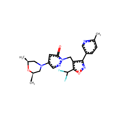 Cc1ccc(-c2noc(C(F)F)c2Cn2ncc(N3C[C@@H](C)O[C@@H](C)C3)cc2=O)cn1